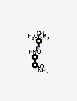 CC(C)(C)c1ccc(/C=C/C(=O)Nc2ccc(-c3cccc(C(N)=O)c3)cc2)cc1